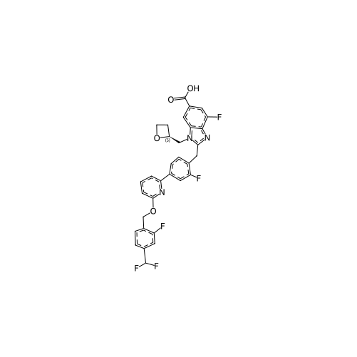 O=C(O)c1cc(F)c2nc(Cc3ccc(-c4cccc(OCc5ccc(C(F)F)cc5F)n4)cc3F)n(C[C@@H]3CCO3)c2c1